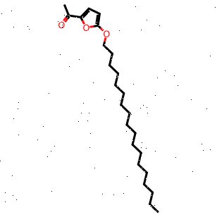 CCCCCCCCCCCCCCCCCCOc1ccc(C(C)=O)o1